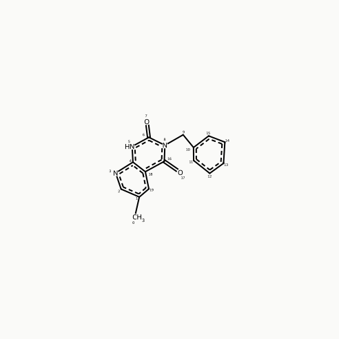 Cc1cnc2[nH]c(=O)n(Cc3ccccc3)c(=O)c2c1